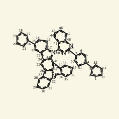 c1ccc(-c2ccc(-c3nc(-n4c5ccc(-c6ccccc6)cc5c5cc6c7ccccc7n7c8ccccc8c(c54)c67)c4ccccc4n3)cc2)cc1